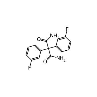 NC(=O)C(C(N)=O)(c1cccc(F)c1)c1cccc(F)c1